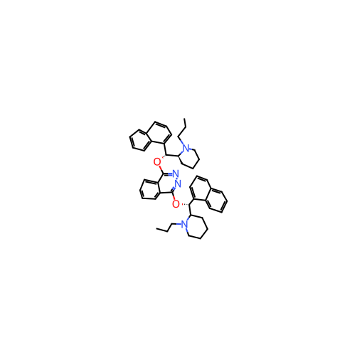 CCCN1CCCCC1[C@H](Oc1nnc(O[C@H](c2cccc3ccccc23)[C@@H]2CCCCN2CCC)c2ccccc12)c1cccc2ccccc12